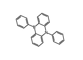 c1ccc(B2c3ccccc3N(c3ccccc3)c3ccccc32)cc1